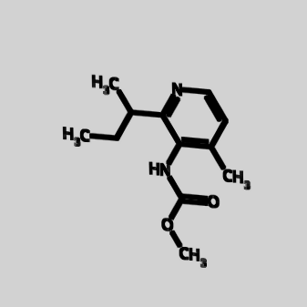 CCC(C)c1nccc(C)c1NC(=O)OC